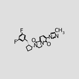 Cc1cn(-c2ccc3n(c2=O)CCN([C@@H]2CCC[C@@H]2Cc2cc(F)cc(F)c2)C3=O)cn1